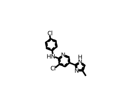 Cc1c[nH]c(-c2cnc(Nc3ccc(Cl)cc3)c(Cl)c2)n1